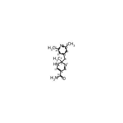 Cc1cc(CC2(C)N=CC(C(N)=O)=CN2)cc(C)n1